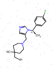 CC(C)CC1(C#N)CCN(Cc2cncn2[C@H](C)c2ccc(F)cc2)CC1